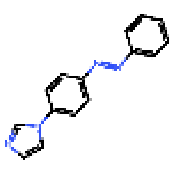 c1ccc(/N=N/c2ccc(-n3ccnc3)cc2)cc1